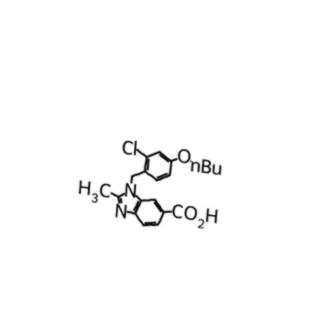 CCCCOc1ccc(Cn2c(C)nc3ccc(C(=O)O)cc32)c(Cl)c1